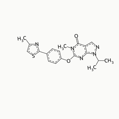 Cc1csc(-c2ccc(Oc3nc4c(cnn4C(C)C)c(=O)n3C)cc2)n1